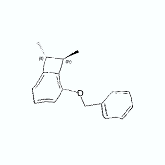 C[C@H]1c2cccc(OCc3ccccc3)c2[C@@H]1C